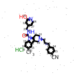 Cl.N#Cc1ccc(/C=C/CN2CCc3c(c4cc(C(F)(F)F)ccc4n3C(=O)NCc3ccnc(O)c3)C2)cc1